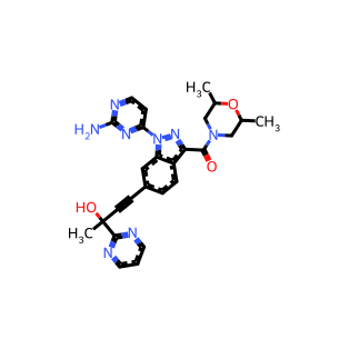 CC1CN(C(=O)c2nn(-c3ccnc(N)n3)c3cc(C#CC(C)(O)c4ncccn4)ccc23)CC(C)O1